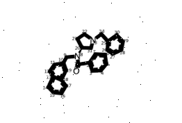 O=C(c1ccccc1)N(Cc1ccc2ccccc2c1)[C@H]1CCN(Cc2ccccc2)C1